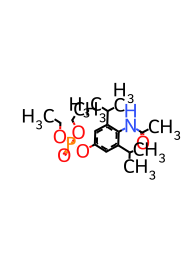 CCOP(=O)(OCC)Oc1cc(C(C)C)c(NC(C)=O)c(C(C)C)c1